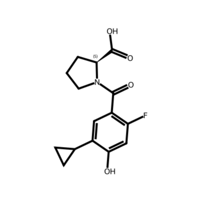 O=C(O)[C@@H]1CCCN1C(=O)c1cc(C2CC2)c(O)cc1F